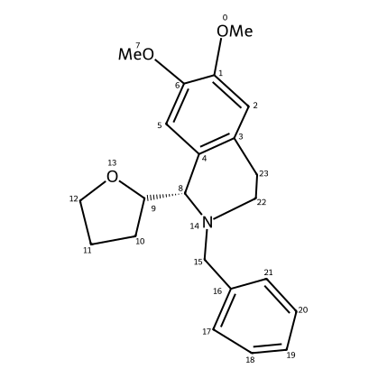 COc1cc2c(cc1OC)[C@@H](C1CCCO1)N(Cc1ccccc1)CC2